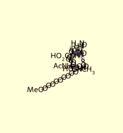 COCCOCCOCCOCCOCCOCCOCCOCCOCCOCCN(CCN(C)C(=O)OCc1ccc(/C=C/NC(=O)C(CCCNC(N)=O)NC(=O)C(/C=C/NC(=O)C(CCC(=O)O)NC(=O)CN2C(=O)C=CC2=O)C(C)C)cc1)C(=O)OC[C@H]1OC[C@H](NC(C)=O)[C@@H](O)[C@@H]1O